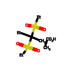 CC(=O)O.CCC(C)(S(=O)(=O)CC)S(=O)(=O)CC